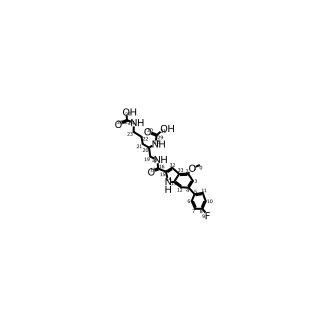 COc1cc(-c2ccc(F)cc2)cc2[nH]c(C(=O)NCC(CCCNC(=O)O)NC(=O)O)cc12